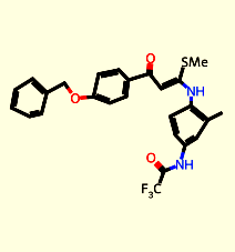 CS/C(=C\C(=O)c1ccc(OCc2ccccc2)cc1)Nc1ccc(NC(=O)C(F)(F)F)cc1C